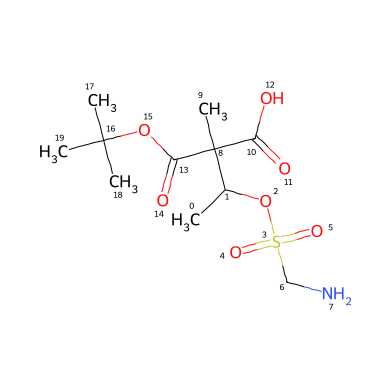 CC(OS(=O)(=O)CN)C(C)(C(=O)O)C(=O)OC(C)(C)C